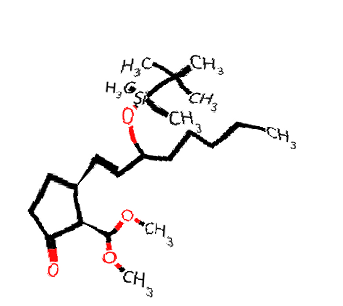 CCCCCC(C=C[C@@H]1CCC(=O)[C@@H]1C(OC)OC)O[Si](C)(C)C(C)(C)C